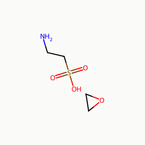 C1CO1.NCCS(=O)(=O)O